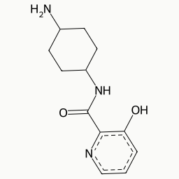 NC1CCC(NC(=O)c2ncccc2O)CC1